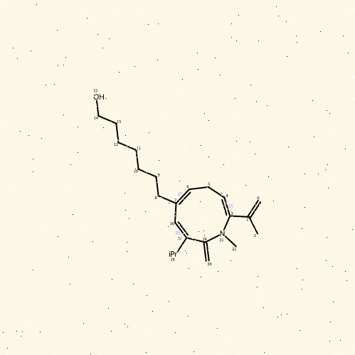 C=C(C)/C1=C/C/C=C(CCCCCCCO)\C=C(\C(C)C)C(=C)N1C